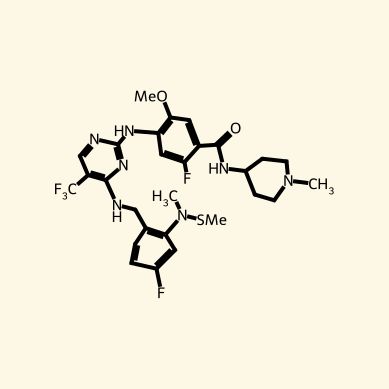 COc1cc(C(=O)NC2CCN(C)CC2)c(F)cc1Nc1ncc(C(F)(F)F)c(NCc2ccc(F)cc2N(C)SC)n1